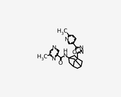 Cc1ccc(-c2nnc(C34CC5CC(CC(NC(=O)c6cncc(C)n6)(C5)C3)C4)o2)cn1